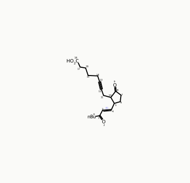 CCCCC(=O)/C=C/C1CCC(=O)C1CC#CCCCCC(=O)O